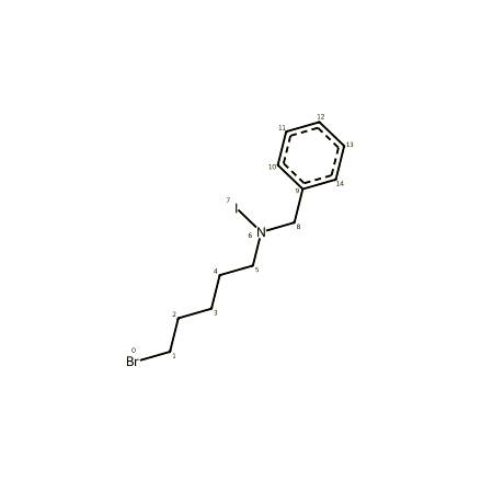 BrCCCCCN(I)Cc1ccccc1